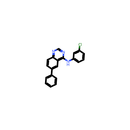 Clc1cccc(Nc2ncnc3ccc(-c4ccccc4)cc23)c1